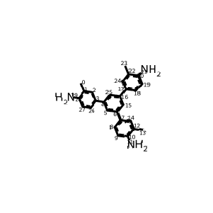 Cc1cc(-c2cc(-c3ccc(N)c(C)c3)cc(-c3ccc(N)c(C)c3)c2)ccc1N